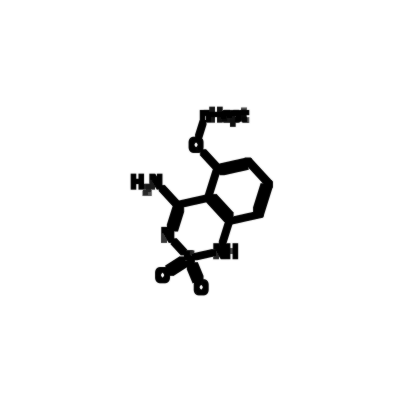 CCCCCCCOc1cccc2c1C(N)=NS(=O)(=O)N2